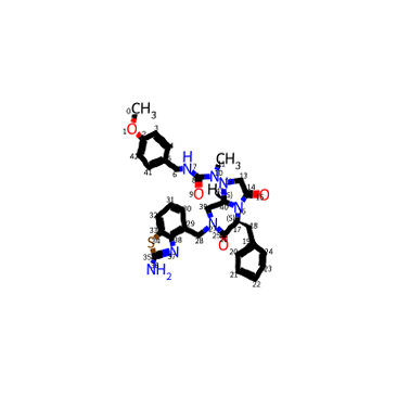 COc1ccc(CNC(=O)N(C)N2CC(=O)N3[C@@H](Cc4ccccc4)C(=O)N(Cc4cccc5sc(N)nc45)C[C@@H]32)cc1